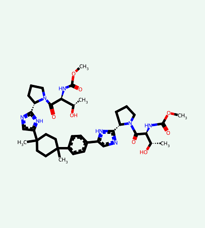 COC(=O)N[C@H](C(=O)N1CCC[C@H]1c1ncc(-c2ccc(C3(C)CCC(C)(c4cnc([C@@H]5CCCN5C(=O)[C@@H](NC(=O)OC)[C@H](C)O)[nH]4)CC3)cc2)[nH]1)[C@H](C)O